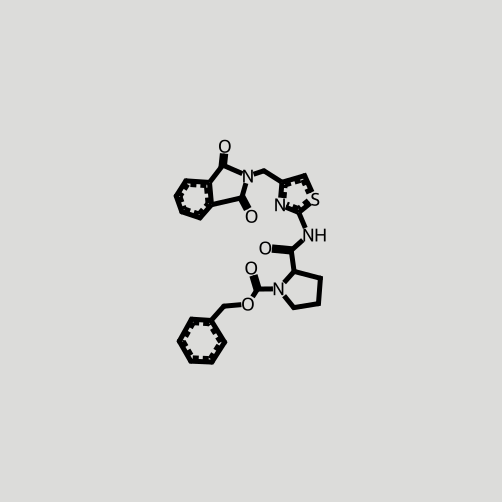 O=C(Nc1nc(CN2C(=O)c3ccccc3C2=O)cs1)C1CCCN1C(=O)OCc1ccccc1